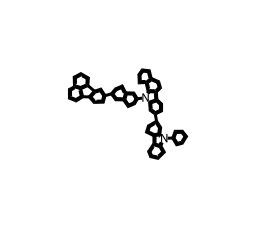 c1ccc(-n2c3ccccc3c3ccc(-c4ccc5c6ccc7ccccc7c6n(-c6ccc7cc(-c8ccc9c(c8)-c8cccc%10cccc-9c8%10)ccc7c6)c5c4)cc32)cc1